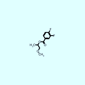 COCC(C)OC(=O)c1ccc(F)c(F)c1